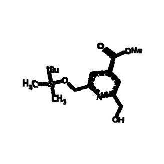 COC(=O)c1cc(CO)nc(CO[Si](C)(C)C(C)(C)C)c1